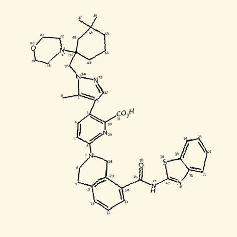 Cc1c(-c2ccc(N3CCc4cccc(C(=O)Nc5nc6ccccc6s5)c4C3)nc2C(=O)O)cnn1CC1(N2CCOCC2)CCCC(C)(C)C1